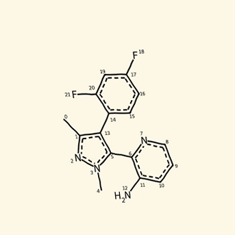 Cc1nn(C)c(-c2ncccc2N)c1-c1ccc(F)cc1F